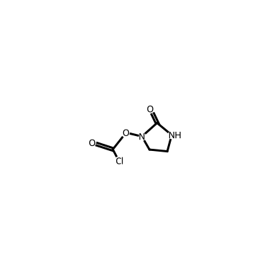 O=C(Cl)ON1CCNC1=O